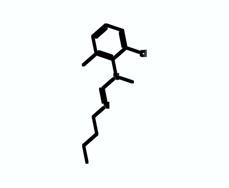 CCCCN=CN(C)c1c(C)cccc1Cl